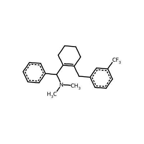 CN(C)C(C1=C(Cc2cccc(C(F)(F)F)c2)CCCC1)c1ccccc1